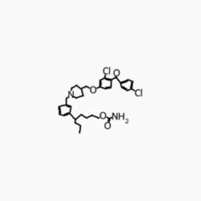 CCCC(CCCCOC(N)=O)c1cccc(CN2CCC(COc3ccc(C(=O)c4ccc(Cl)cc4)c(Cl)c3)CC2)c1